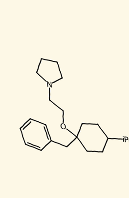 CC(C)C1CCC(Cc2ccccc2)(OCCN2CCCC2)CC1